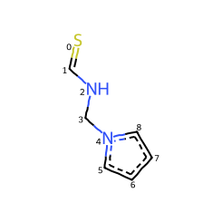 S=CNCn1cccc1